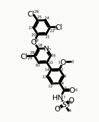 COc1cc(C(=O)NS(C)(=O)=O)ccc1-c1cnc(Oc2cc(Cl)cc(Cl)c2)c(Cl)c1